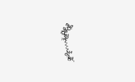 CNOCC(=O)NCCCCCCCCNC(=O)CNc1cccc2c1CN(C1CCC(=O)N(C=O)C1)C2=O